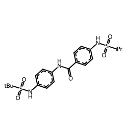 CC(C)S(=O)(=O)Nc1ccc(C(=O)Nc2ccc(NS(=O)(=O)C(C)(C)C)cc2)cc1